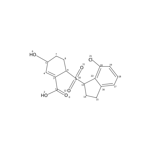 O=C(O)C1=CC(O)CCC1S(=O)(=O)C1CCc2cccc(Cl)c21